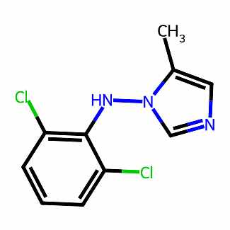 Cc1cncn1Nc1c(Cl)cccc1Cl